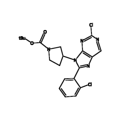 CC(C)(C)OC(=O)N1CCC(n2c(-c3ccccc3Cl)nc3cnc(Cl)nc32)C1